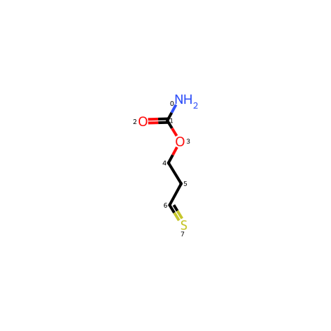 NC(=O)OCCC=S